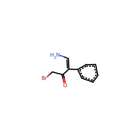 NC=C(C(=O)CBr)c1ccccc1